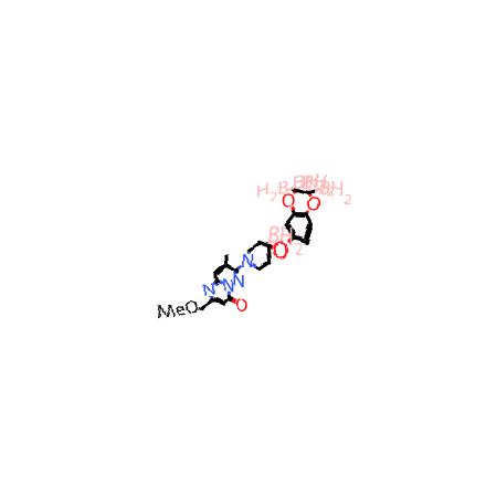 BC1(Oc2ccc3c(c2)OC(B)(B)C(B)(B)O3)CCN(c2nn3c(=O)cc(COC)nc3cc2C)CC1